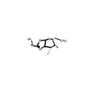 CCCNC1=NC2C(O[C@H](COC(C)=O)[C@@H](C)[C@@H]2C)S1